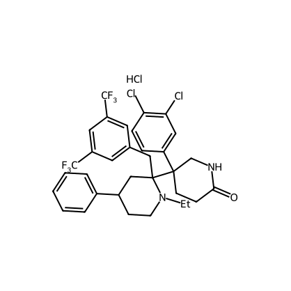 CCN1CCC(c2ccccc2)CC1(Cc1cc(C(F)(F)F)cc(C(F)(F)F)c1)C1(c2ccc(Cl)c(Cl)c2)CCC(=O)NC1.Cl